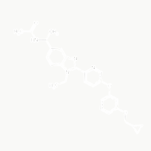 CCn1c(-c2ccc(Oc3cccc(OCC4CC4)c3)cn2)nc2cc(C(C)NC(C)=O)ccc21